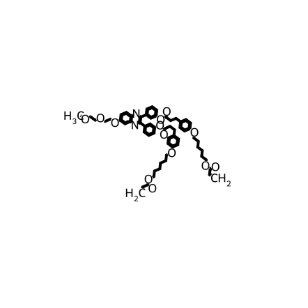 C=CC(=O)OCCCCCCOc1ccc(CCC(=O)Oc2cccc(-c3nc4ccc(OCCOCCOC)cc4nc3-c3cccc(OC(=O)CCc4ccc(OCCCCCCOC(=O)C=C)cc4)c3)c2)cc1